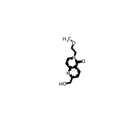 COCCn1ccc2nc(CO)ccc2c1=O